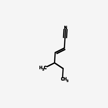 CCC(C)/C=C/C#N